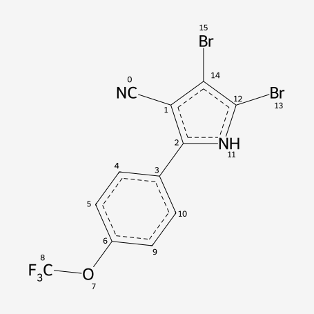 N#Cc1c(-c2ccc(OC(F)(F)F)cc2)[nH]c(Br)c1Br